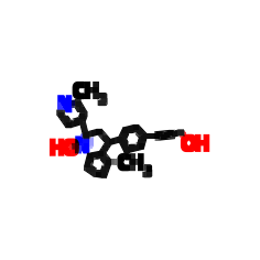 Cc1cc(/C(CC(c2ccc(C#CCO)cc2)c2ccccc2C)=N\O)ccn1